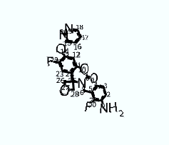 Nc1cccc(CN2C(=O)Oc3cc(Oc4cccnn4)c(F)cc3C23COC3)c1F